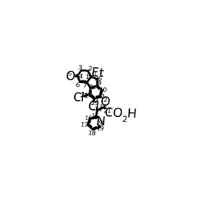 CCC12CCC(=O)C=C1c1c(cc(OC(Cc3ccccn3)C(=O)O)c(Cl)c1Cl)C2